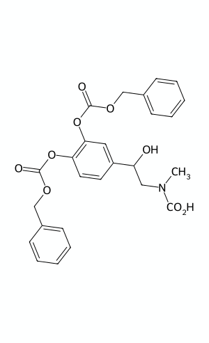 CN(CC(O)c1ccc(OC(=O)OCc2ccccc2)c(OC(=O)OCc2ccccc2)c1)C(=O)O